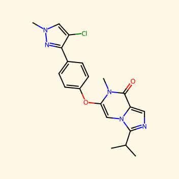 CC(C)c1ncc2c(=O)n(C)c(Oc3ccc(-c4nn(C)cc4Cl)cc3)cn12